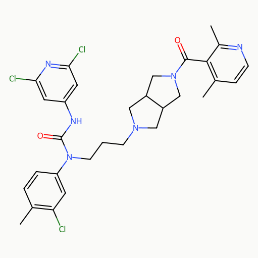 Cc1ccc(N(CCCN2CC3CN(C(=O)c4c(C)ccnc4C)CC3C2)C(=O)Nc2cc(Cl)nc(Cl)c2)cc1Cl